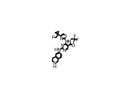 O=c1c2cnc(Nc3ccc4c(c3)CCNC4)nc2n(-c2nc(C3(CF)CC3)cs2)n1CC(F)(F)F